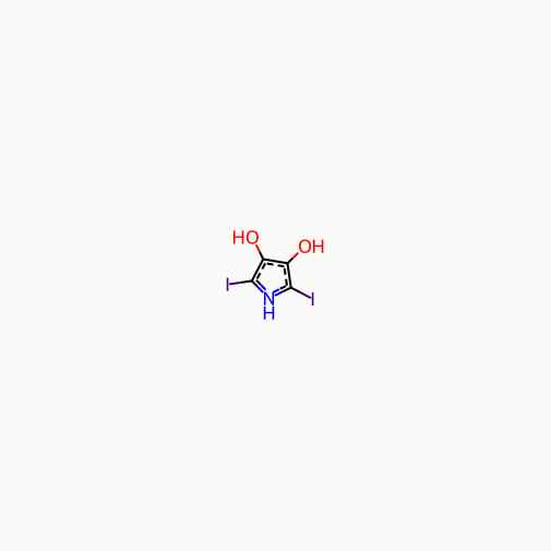 Oc1c(I)[nH]c(I)c1O